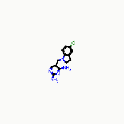 Nc1ncc(CN2CCc3cc(Cl)ccc32)c(N)n1